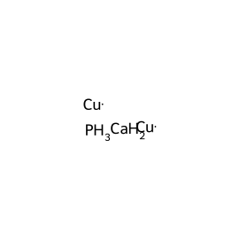 P.[CaH2].[Cu].[Cu]